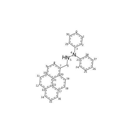 c1ccc(N(NCc2ccc3ccc4cccc5ccc2c3c45)c2ccccc2)cc1